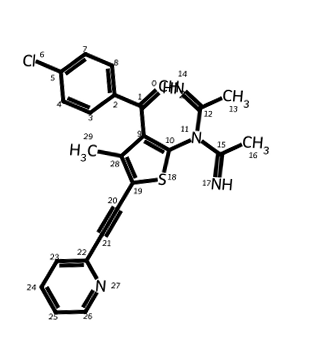 C=C(c1ccc(Cl)cc1)c1c(N(C(C)=N)C(C)=N)sc(C#Cc2ccccn2)c1C